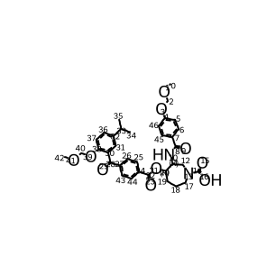 COCOc1ccc(C(=O)N[C@@H]2CN(C(=O)O)CCC[C@H]2OC(=O)c2ccc(C(=O)c3cc(C(C)C)ccc3OCOC)cc2)cc1